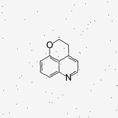 [CH]1Cc2ccnc3cccc(c23)O1